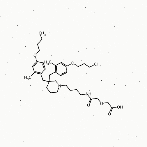 CCCCOc1ccc(CC2(Cc3ccc(OCCCC)cc3C)CCCN(CCCCNC(=O)COCC(=O)O)C2)c(C)c1